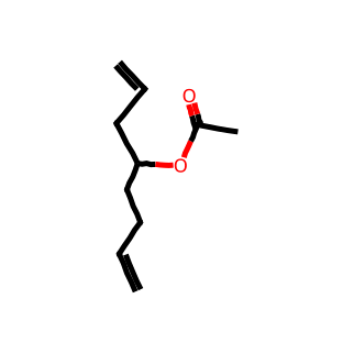 C=CCCC(CC=C)OC(C)=O